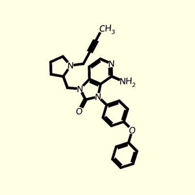 CC#CCN1CCCC1Cn1c(=O)n(-c2ccc(Oc3ccccc3)cc2)c2c(N)nccc21